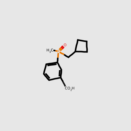 CP(=O)(CC1CCC1)c1cccc(C(=O)O)c1